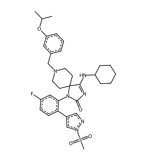 CC(C)Oc1cccc(CN2CCC3(CC2)C(NC2CCCCC2)=NC(=O)N3c2cc(F)ccc2-c2cnn(S(C)(=O)=O)c2)c1